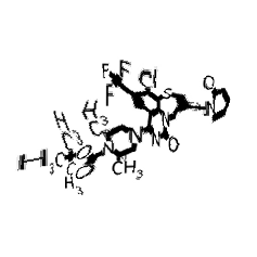 C[C@@H]1CN(c2nc(=O)n3c4c(c(Cl)c(C(F)(F)F)cc24)SC[C@@H](n2ccccc2=O)C3)C[C@@H](C)N1C(=O)OC(C)(C)C